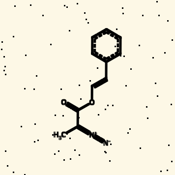 CC(=[N+]=[N-])C(=O)OC=Cc1ccccc1